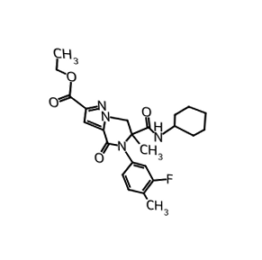 CCOC(=O)c1cc2n(n1)CC(C)(C(=O)NC1CCCCC1)N(c1ccc(C)c(F)c1)C2=O